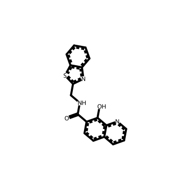 O=C(NCc1nc2ccccc2s1)c1ccc2cccnc2c1O